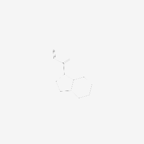 O=CC(=O)C1CCC2CCCCC21